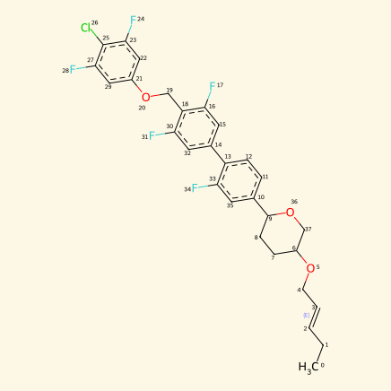 CC/C=C/COC1CCC(c2ccc(-c3cc(F)c(COc4cc(F)c(Cl)c(F)c4)c(F)c3)c(F)c2)OC1